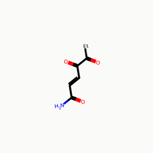 CCC(=O)C(=O)C=CC(N)=O